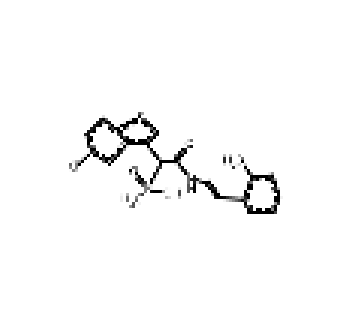 Bc1ccccc1/C=C/NC(=O)C(c1csc2ccc(Cl)cc12)P(C)(=O)O